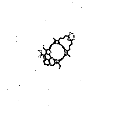 CCC1=C(CC)c2nc1cc1[nH]c(cc3nc(cc4[nH]c(c(CC)c4CC)c2-c2ccccc2CC(=O)OC)C(C)=C3CCCC(=O)OC)c(CCCC(=O)OC)c1C